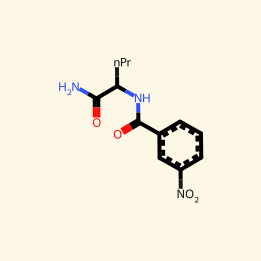 CCCC(NC(=O)c1cccc([N+](=O)[O-])c1)C(N)=O